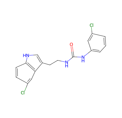 O=C(NCCc1c[nH]c2ccc(Cl)cc12)Nc1cccc(Cl)c1